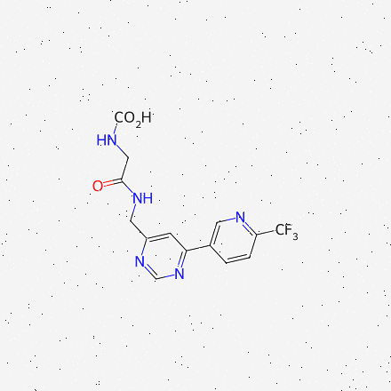 O=C(O)NCC(=O)NCc1cc(-c2ccc(C(F)(F)F)nc2)ncn1